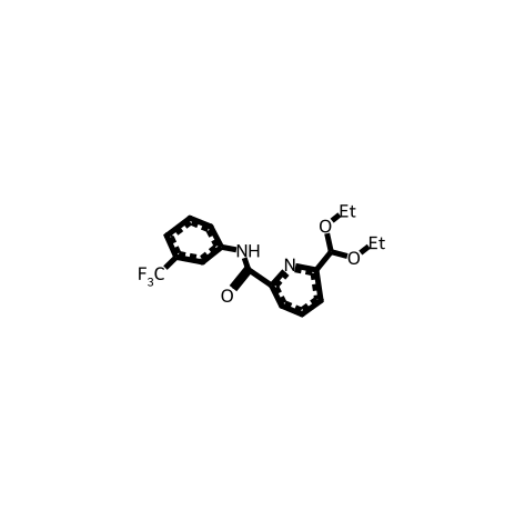 CCOC(OCC)c1cccc(C(=O)Nc2cccc(C(F)(F)F)c2)n1